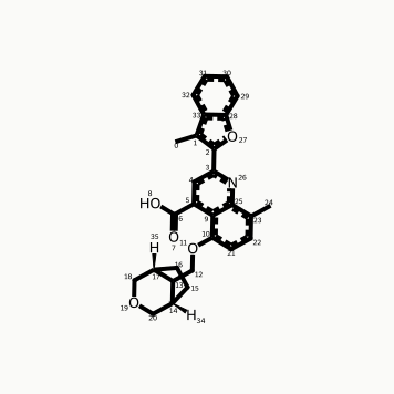 Cc1c(-c2cc(C(=O)O)c3c(OCC4[C@@H]5CC[C@H]4COC5)ccc(C)c3n2)oc2ccccc12